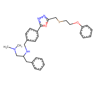 CN(C)CC(Cc1ccccc1)NCc1ccc(-c2nnc(CSCCOc3ccccc3)o2)cc1